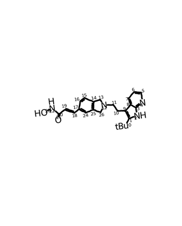 CC(C)(C)c1[nH]c2ncccc2c1CCN1Cc2ccc(C=CC(=O)NO)cc2C1